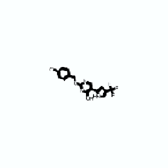 Oc1nc(OCc2ccc(Cl)cc2)ncc1-c1cc(C(F)(F)F)c[nH]1